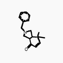 CC1(C)C=CC(=O)C2CN(Cc3ccccc3)CC21